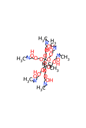 CC1CN1CC(O)COCCOCC(COCCOCC(O)CN1CC1C)(COCCOCC(O)CN1CC1C)COCC(COCCOCC(O)CN1CC1C)(COCCOCC(O)CN1CC1C)COC(C)(C)CCOCC(O)CN1CC1C